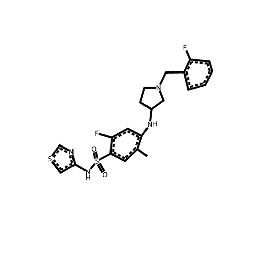 Cc1cc(S(=O)(=O)Nc2cscn2)c(F)cc1NC1CCN(Cc2ccccc2F)C1